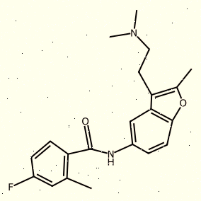 Cc1cc(F)ccc1C(=O)Nc1ccc2oc(C)c(CCN(C)C)c2c1